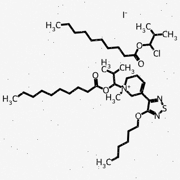 CCCCCCCCCC(=O)OC(C(C)C)[N+]1(C)CCC=C(c2nsnc2OCCCCCC)C1.CCCCCCCCCC(=O)OC(Cl)C(C)C.[I-]